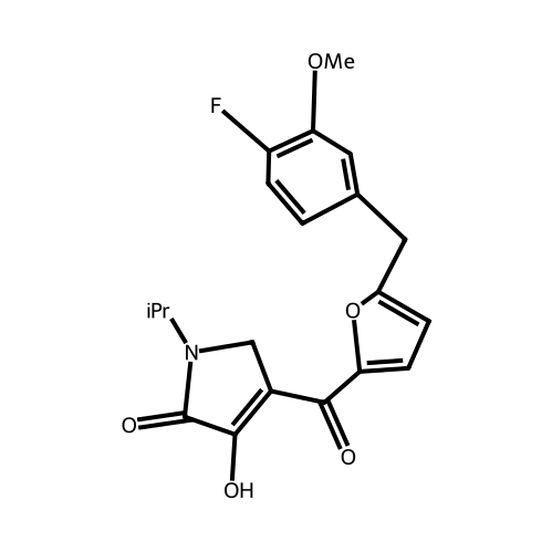 COc1cc(Cc2ccc(C(=O)C3=C(O)C(=O)N(C(C)C)C3)o2)ccc1F